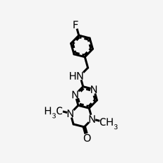 CN1CC(=O)N(C)c2cnc(NCc3ccc(F)cc3)nc21